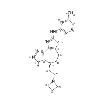 Cc1ccnc(Nc2nc3c(s2)CCN(CCN2CCC2)c2[nH]ncc2-3)n1